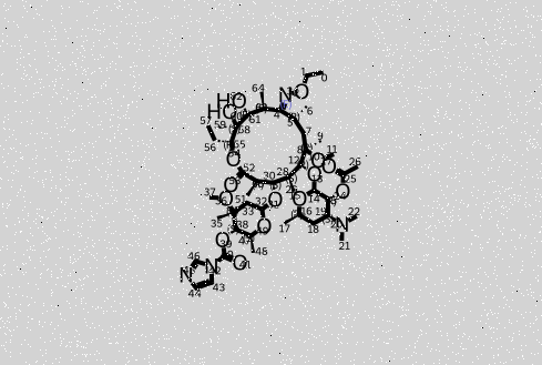 CCO/N=C1\[C@H](C)C[C@@](C)(OC)[C@H](OC2O[C@H](C)C[C@H](N(C)C)[C@H]2OC(C)=O)[C@@H](C)[C@H](OC2C[C@@](C)(OC)[C@@H](OC(=O)n3ccnc3)[C@H](C)O2)[C@@H](C)C(=O)O[C@H](CC)[C@@](C)(O)[C@H](O)[C@H]1C